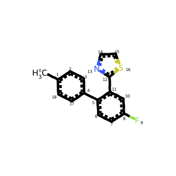 Cc1ccc(-c2ccc(F)cc2-c2nccs2)cc1